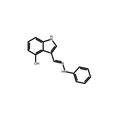 Oc1cccc2[nH]cc(C=NNc3ccccc3)c12